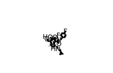 C[C@H]1C[C@H](CNCC2CC2)c2c(C(=O)NCc3ccc(F)cc3F)c(=O)c(O)c(C=O)n21